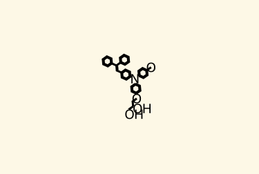 COc1ccc(N(c2ccc(C=C(c3ccccc3)c3ccccc3)cc2)c2ccc(OCC(O)CO)cc2)cc1